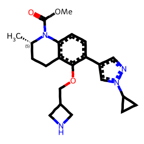 COC(=O)N1c2ccc(-c3cnn(C4CC4)c3)c(OCC3CNC3)c2CC[C@@H]1C